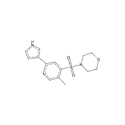 Cc1ccc(-c2cc[nH]c2)cc1S(=O)(=O)N1CCOCC1